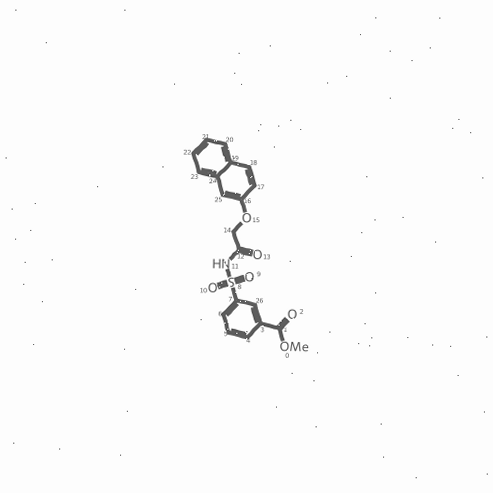 COC(=O)c1cccc(S(=O)(=O)NC(=O)COc2ccc3ccccc3c2)c1